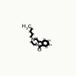 CCCCCN1CCN2C(=O)c3ccccc3C2C1